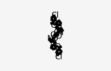 C=C(c1ccccc1OC(C)c1ccc(Cl)cc1)n1ccnc1OC(=O)C(=O)Oc1nccn1C(=C)c1ccccc1OC(C)c1ccc(Cl)cc1